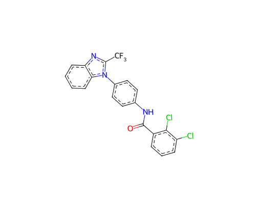 O=C(Nc1ccc(-n2c(C(F)(F)F)nc3ccccc32)cc1)c1cccc(Cl)c1Cl